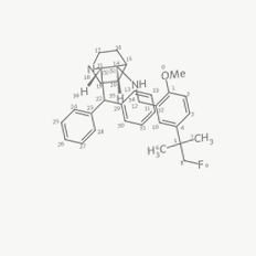 COc1ccc(C(C)(C)CF)cc1CN[C@H]1C2CCN(CC2)[C@H]1C(c1ccccc1)c1ccccc1